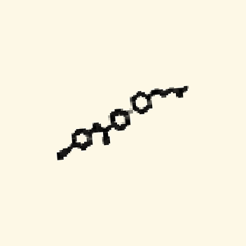 COCC=C[C@H]1CC[C@H](c2ccc(C(=O)Oc3ccc(C#N)cc3)cc2)CC1